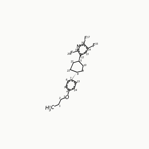 CCCOc1ccc([C@H]2CC[C@H](c3cc(F)c(F)nc3F)CC2)cc1